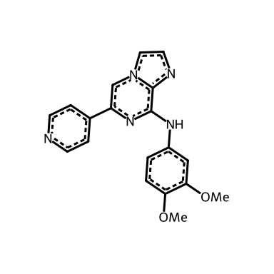 COc1ccc(Nc2nc(-c3ccncc3)cn3ccnc23)cc1OC